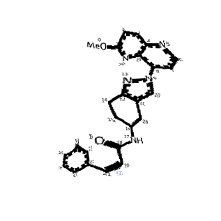 COc1ccc2nccc(-n3cc4c(n3)CCC(NC(=O)/C=C\c3ccccc3)C4)c2n1